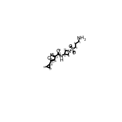 NCCCS(=O)(=O)N1CC(NC(=O)c2cc(C3CC3)on2)C1